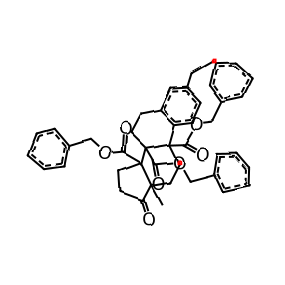 CCc1ccc2c(c1)CCC1(C(=O)OCc3ccccc3)C2(C(=O)OCc2ccccc2)CCC2(C)C(=O)CCC21C(=O)OCc1ccccc1